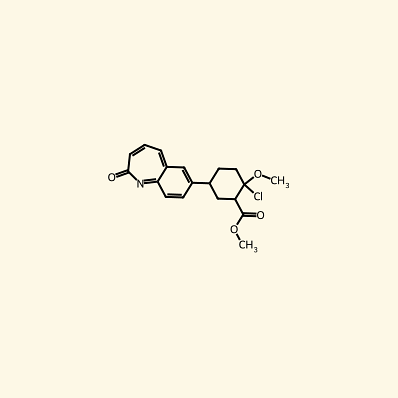 COC(=O)C1CC(c2ccc3nc(=O)cccc3c2)CCC1(Cl)OC